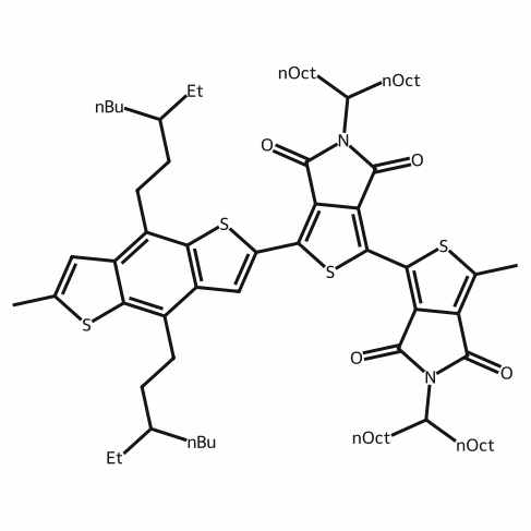 CCCCCCCCC(CCCCCCCC)N1C(=O)c2c(C)sc(-c3sc(-c4cc5c(CCC(CC)CCCC)c6sc(C)cc6c(CCC(CC)CCCC)c5s4)c4c3C(=O)N(C(CCCCCCCC)CCCCCCCC)C4=O)c2C1=O